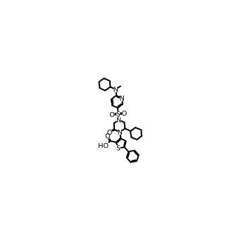 CN(c1ccc(S(=O)(=O)N2CC(=O)N(c3cc(-c4ccccc4)sc3C(=O)O)C(C3CCCCC3)C2)cn1)C1CCCCC1